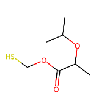 CC(C)OC(C)C(=O)OCS